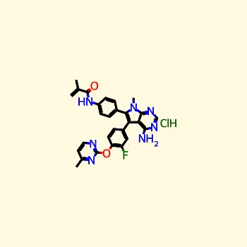 C=C(C)C(=O)Nc1ccc(-c2c(-c3ccc(Oc4nccc(C)n4)c(F)c3)c3c(N)ncnc3n2C)cc1.Cl